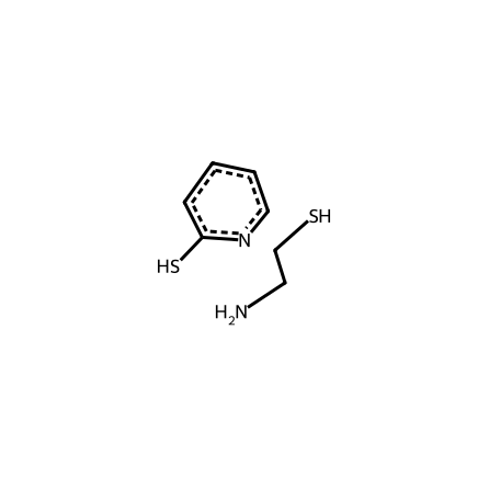 NCCS.Sc1ccccn1